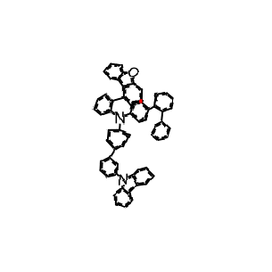 c1ccc(-c2ccccc2-c2ccc(N(c3ccc(-c4cccc(-n5c6ccccc6c6ccccc65)c4)cc3)c3ccccc3-c3cccc4oc5ccccc5c34)cc2)cc1